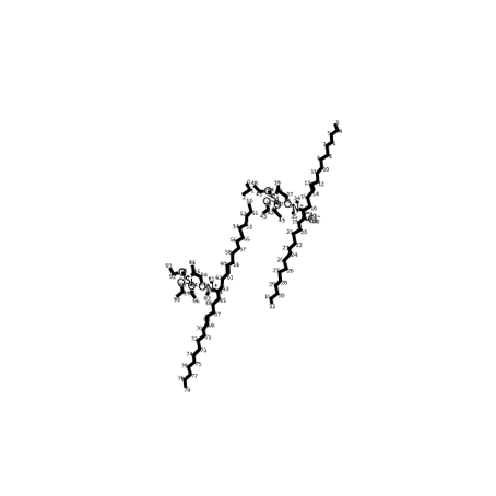 CCC.CCCCCCCCCCC=CCCC(CCCCCCCCCCCCCCC)[N+](C)(C)OCC(C)[Si](OCC)(OCC)OCC.CCCCCCCCCCC=CCCC(CCCCCCCCCCCCCCC)[N+](C)(C)OCC(C)[Si](OCC)(OCC)OCC.[Cl-].[Cl-]